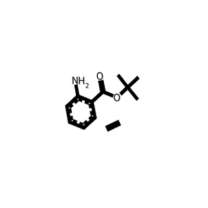 C=C.CC(C)(C)OC(=O)c1ccccc1N